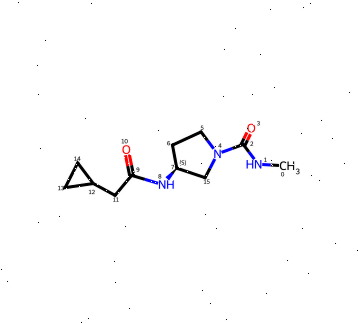 CNC(=O)N1CC[C@H](NC(=O)CC2CC2)C1